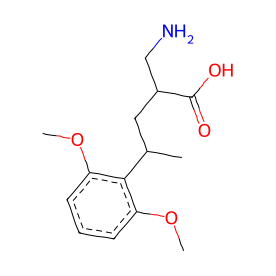 COc1cccc(OC)c1C(C)CC(CN)C(=O)O